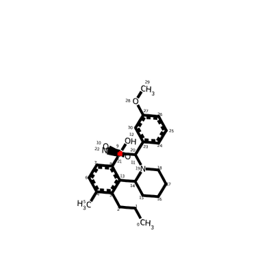 CCCc1c(C)ccc(S(=O)(=O)O)c1C1CCCCN1C(C#N)c1cccc(OC)c1